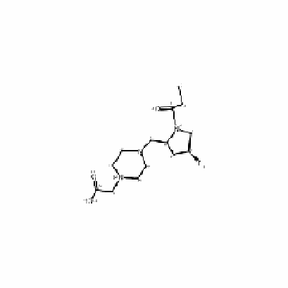 CCC(=O)N1C[C@@H](F)CC1CN1CCN(CC(=O)O)CC1